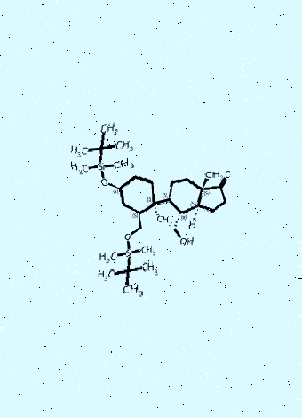 CC(C)(C)[Si](C)(C)OC[C@H]1C[C@@H](O[Si](C)(C)C(C)(C)C)CC[C@@]1(C)[C@H]1CC[C@]2(C)C(=O)CC[C@H]2[C@@H]1CO